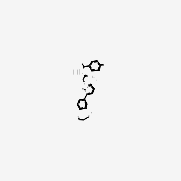 CC(NC(=O)Cn1nc(-c2ccc3c(c2)OCCCO3)ccc1=O)c1ccc(F)cc1